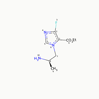 CCOC(=O)c1c(F)ncn1C[C@@H](C)N